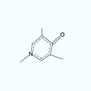 Cc1cn(C)cc(C)c1=O